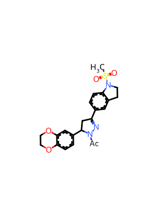 CC(=O)N1N=C(c2ccc3c(c2)CCN3S(C)(=O)=O)CC1c1ccc2c(c1)OCCO2